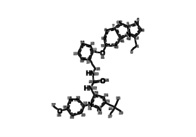 CCc1cnc2sc3ccc(Oc4ccccc4CNC(=O)Nc4cc(C(C)(C)C)nn4-c4ccc(OC)cc4)cc3n12